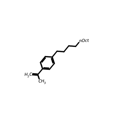 C=C(C)c1ccc(CCCCCCCCCCCC)cc1